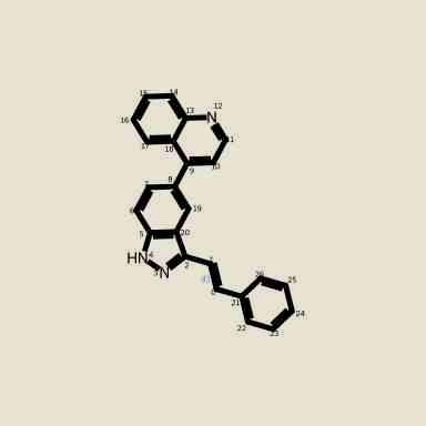 C(=C\c1n[nH]c2ccc(-c3ccnc4ccccc34)cc12)/c1ccccc1